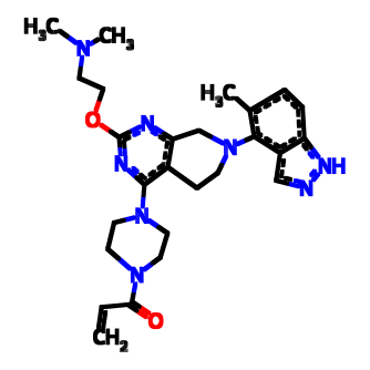 C=CC(=O)N1CCN(c2nc(OCCN(C)C)nc3c2CCN(c2c(C)ccc4[nH]ncc24)C3)CC1